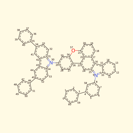 c1ccc(-c2cccc(-n3c4ccccc4c4c5cccc6c5c(cc43)-c3ccc(-n4c5ccc(-c7ccccc7)cc5c5cc(-c7ccccc7)ccc54)cc3O6)c2)cc1